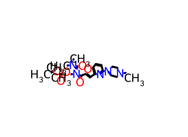 CCN1CCN(c2ccc3oc(C(=O)N(COC(=O)OC(C)(C)C)C(=O)N(C)C)cc3n2)CC1